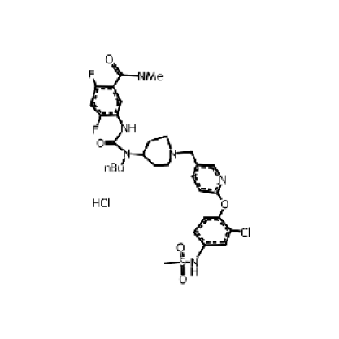 CCCCN(C(=O)Nc1cc(C(=O)NC)c(F)cc1F)C1CCN(Cc2ccc(Oc3ccc(NS(C)(=O)=O)cc3Cl)nc2)CC1.Cl